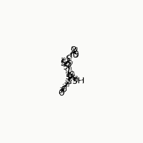 COC(=O)CCSC1=C(SC)SC(=CC=C2SC(CS)=C(SCCCOC=O)S2)S1